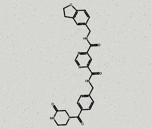 O=C1CN(C(=O)c2ccc(CNC(=O)c3cc(C(=O)NCc4ccc5c(c4)CCO5)ncn3)cc2)CCN1